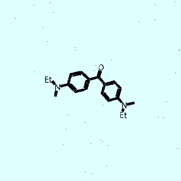 CCN(C)c1ccc(C(=O)c2ccc(N(C)CC)cc2)cc1